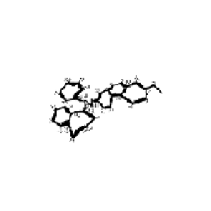 CCc1ccc2c3c(ccc2c1)C=C(N(c1ccccc1)c1cccc2ccccc12)CC3